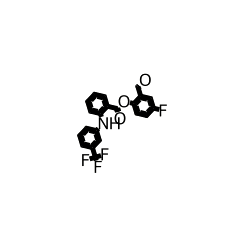 O=Cc1cc(F)ccc1OC(=O)c1ccccc1Nc1cccc(C(F)(F)F)c1